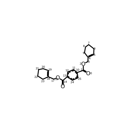 O=C(OCC1=CCCCC1)c1ccc(C(=O)OCC2=CCCCC2)cc1